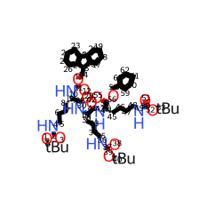 CC(C)(C)OC(=O)NCCCC[C@H](NC(=O)OCC1c2ccccc2-c2ccccc21)C(=O)N[C@@H](CCCCNC(=O)OC(C)(C)C)C(=O)N[C@@H](CCCCNC(=O)OC(C)(C)C)C(=O)OCc1ccccc1